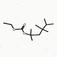 CCOC(=O)OC(C)(C)CC(C)(C)C(C)C